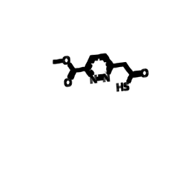 COC(=O)c1ccc(CC(=O)S)nn1